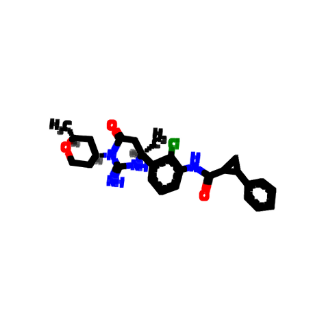 C[C@@H]1C[C@H](N2C(=N)N[C@](C)(c3cccc(NC(=O)C4CC4c4ccccc4)c3Cl)CC2=O)CCO1